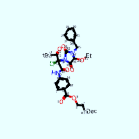 CCCCCCCCCCCCOC(=O)c1ccc(NC(=O)C(Cl)(C(=O)C(C)(C)C)N2C(=O)C(OCC)N(Cc3ccccc3)C2=O)cc1